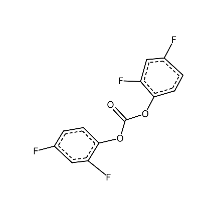 O=C(Oc1ccc(F)cc1F)Oc1ccc(F)cc1F